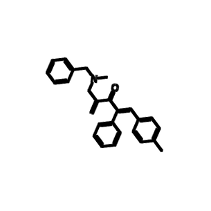 C=C(CN(C)Cc1ccccc1)C(=O)/C(=C/c1ccc(C)cc1)c1ccccc1